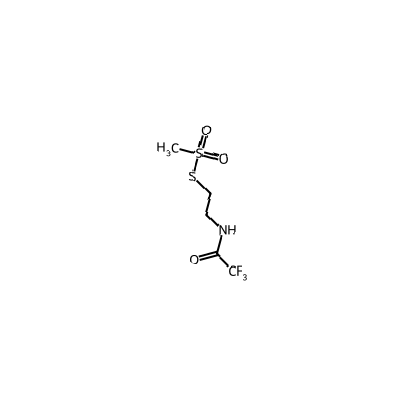 CS(=O)(=O)SCCNC(=O)C(F)(F)F